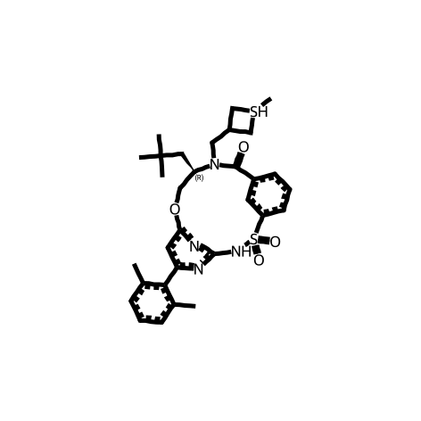 Cc1cccc(C)c1-c1cc2nc(n1)NS(=O)(=O)c1cccc(c1)C(=O)N(CC1C[SH](C)C1)[C@H](CC(C)(C)C)CO2